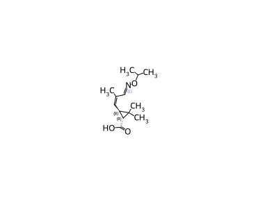 CC(=C[C@@H]1[C@@H](C(=O)O)C1(C)C)/C=N/OC(C)C